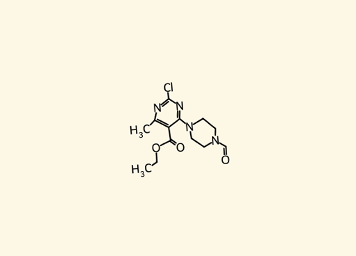 CCOC(=O)c1c(C)nc(Cl)nc1N1CCN(C=O)CC1